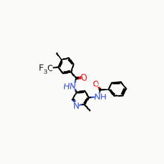 Cc1ccc(C(=O)Nc2cnc(C)c(NC(=O)c3ccccc3)c2)cc1C(F)(F)F